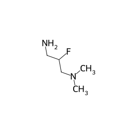 CN(C)CC(F)CN